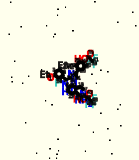 CCOc1cc(CC)cc(C(Nc2ccc3c(N)nccc3c2)c2nc(-c3ccccc3C(C)=O)c[nH]2)c1F.O=C(O)C(F)(F)F.O=C(O)C(F)(F)F